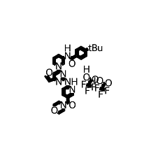 CC(C)(C)c1ccc(C(=O)NC2CCCN(c3nc(Nc4ccc(C(=O)N5CCOCC5)cn4)nc4ccoc34)C2)cc1.O=C(O)C(F)(F)F.O=C(O)C(F)(F)F